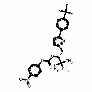 CC(C)(C)[C@@H](Cn1ccc(-c2ccc(C(F)(F)F)cc2)n1)OC(=O)Oc1ccc([N+](=O)[O-])cc1